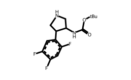 CC(C)(C)OC(=O)NC1CNCC1c1cc(F)c(F)cc1F